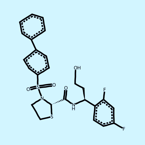 O=C(N[C@@H](CCO)c1ccc(F)cc1F)[C@@H]1SCCN1S(=O)(=O)c1ccc(-c2ccccc2)cc1